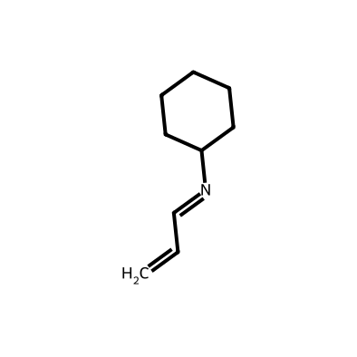 C=CC=NC1CCCCC1